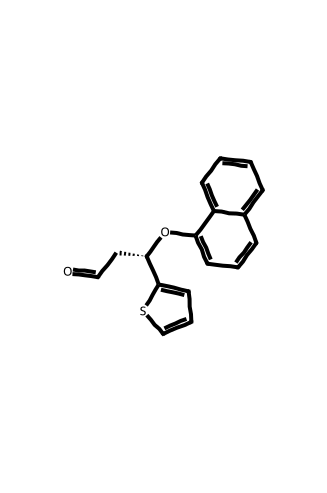 O=CC[C@H](Oc1cccc2ccccc12)c1cccs1